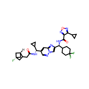 O=C(CC1C[C@]2(F)C[C@@H]1C2)N[C@@H](c1cnn2cc([C@@H](NC(=O)c3nonc3C3CC3)C3CCC(F)(F)CC3)nc2c1)C1CC1